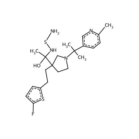 Cc1ccc(C(C)(C)N2CCC(CCc3ccc(F)s3)(C(C)(O)NSN)C2)cn1